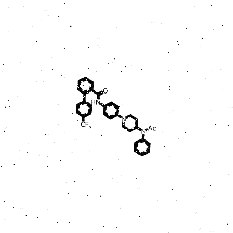 CC(=O)N(c1ccccc1)C1CCN(c2ccc(NC(=O)c3ccccc3-c3ccc(C(F)(F)F)cc3)cc2)CC1